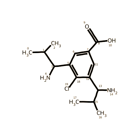 CC(C)C(N)c1cc(C(=O)O)cc(C(N)C(C)C)c1Cl